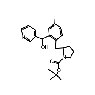 CC(C)(C)OC(=O)N1CCCC1Cc1ccc(I)cc1C(O)c1cccnc1